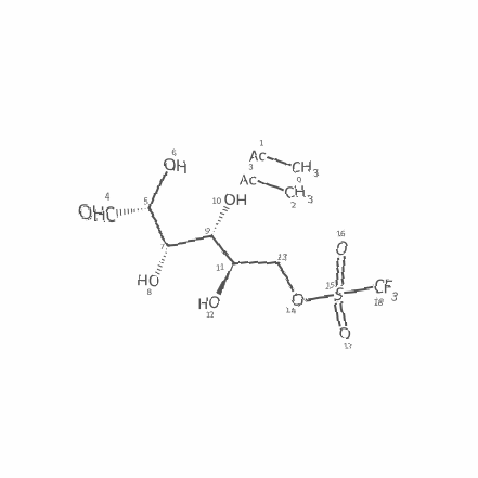 CC(C)=O.CC(C)=O.O=C[C@H](O)[C@@H](O)[C@H](O)[C@H](O)COS(=O)(=O)C(F)(F)F